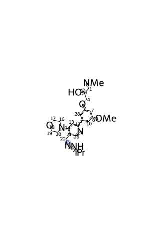 CNC[C@H](O)COc1cc(OC)cc(-c2cc(N3CCOCC3)c(/C=N\NC(C)C)cn2)c1